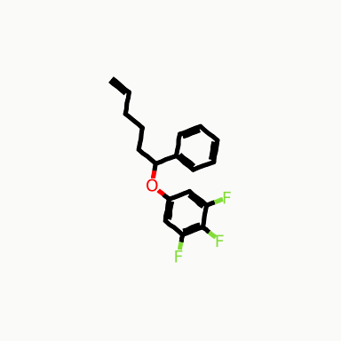 C=CCCCC(Oc1cc(F)c(F)c(F)c1)c1ccccc1